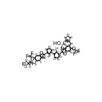 Cc1c(-c2nc3cc(CN4CC5(COC5)C4)c(OC(F)F)cc3o2)cccc1-c1cccc(-c2nc3cc(CN4CCC[C@H]4C(=O)O)c(OC(F)F)cc3o2)c1C